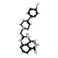 O=c1[nH]nc2c3c(cccc13)N=C(CN1CC=C(c3ccc(F)cc3)CC1)N2